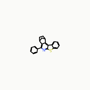 c1ccc(-c2nc3sc4ccccc4c3c3c2C2CCC3C2)cc1